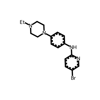 CCN1CCN(c2ccc(Nc3ccc(Br)cn3)cc2)CC1